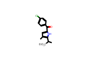 CCOC(=O)C(C)c1[nH]c(C(=O)c2ccc(Cl)cc2)cc1C